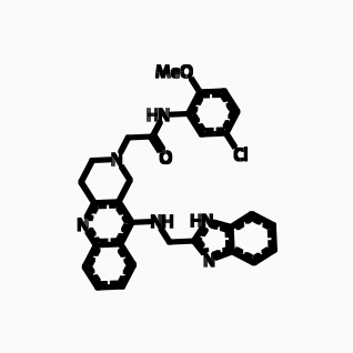 COc1ccc(Cl)cc1NC(=O)CN1CCc2nc3ccccc3c(NCc3nc4ccccc4[nH]3)c2C1